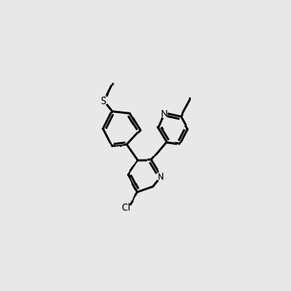 CSc1ccc(C2C=C(Cl)CN=C2c2ccc(C)nc2)cc1